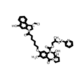 Cc1cc2c(cc1OCCCCCC(=O)N1C[C@@H](CCl)c3c1cc(O)c1ccccc31)N(C(=O)OCC(C)SSc1ccccn1)C(O)[C@@H]1CCCN1C2=O